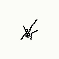 CCCCCCCCCCCC#CCCc1ccccc1C(=CC(=C=[N+]=[N-])CCCCCC)c1cccc(CCCC)c1.CCCCC[CH2][Ni][CH2]CCCCC